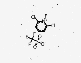 F[n+]1c(Cl)cccc1Cl.O=S(=O)([O-])C(F)(F)F